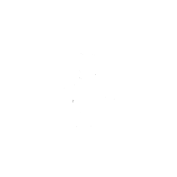 CSc1nc2c(=O)n([C@@H](C)CNC(=O)OC(C)(C)C)c(COC(C)=O)nc2s1